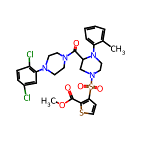 COC(=O)c1sccc1S(=O)(=O)N1CCN(c2ccccc2C)C(C(=O)N2CCN(c3cc(Cl)ccc3Cl)CC2)C1